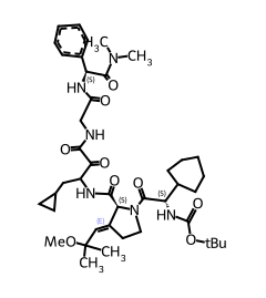 COC(C)(C)/C=C1\CCN(C(=O)[C@@H](NC(=O)OC(C)(C)C)C2CCCCC2)[C@@H]1C(=O)NC(CC1CC1)C(=O)C(=O)NCC(=O)N[C@H](C(=O)N(C)C)c1ccccc1